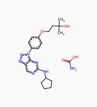 CC(C)(O)CCOc1ccc(-n2nnc3cnc(NC4CCCC4)nc32)cc1.NC(=O)O